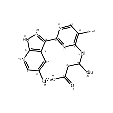 COC(=O)CC(Nc1nc(-c2n[nH]c3ncc(Cl)cc23)ncc1F)C(C)(C)C